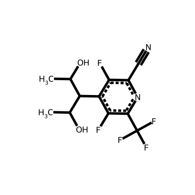 CC(O)C(c1c(F)c(C#N)nc(C(F)(F)F)c1F)C(C)O